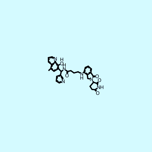 Cc1cc(C(NC(=O)CCCNc2cccc3c2CN(C2CCC(=O)NC2=O)C3=O)c2cccnc2)c(O)c2ncccc12